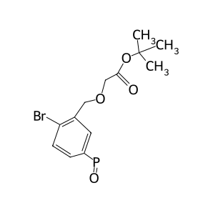 CC(C)(C)OC(=O)COCc1cc(P=O)ccc1Br